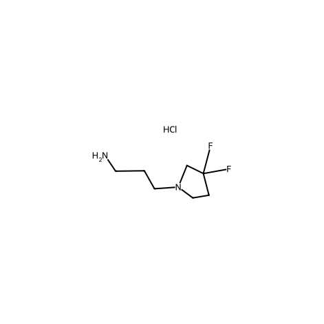 Cl.NCCCN1CCC(F)(F)C1